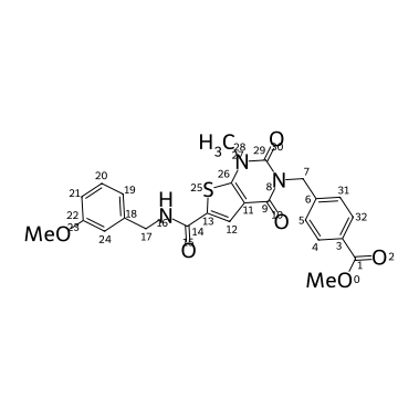 COC(=O)c1ccc(Cn2c(=O)c3cc(C(=O)NCc4cccc(OC)c4)sc3n(C)c2=O)cc1